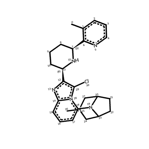 Cc1cccnc1[C@@H]1CCC[C@H](c2nc3cccc(N4C5CCC4CN(C)C5)n3c2Cl)N1